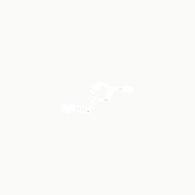 C=Cn1cc(C(C)(C)C)cn1